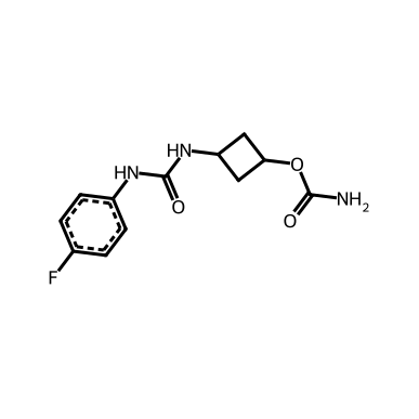 NC(=O)OC1CC(NC(=O)Nc2ccc(F)cc2)C1